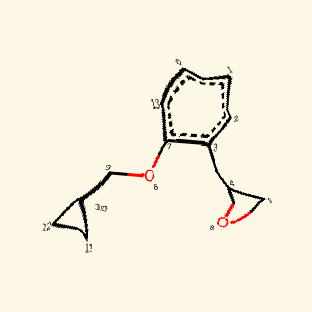 c1ccc(C2CO2)c(OCC2CC2)c1